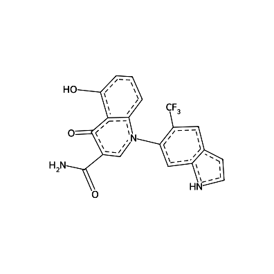 NC(=O)c1cn(-c2cc3[nH]ccc3cc2C(F)(F)F)c2cccc(O)c2c1=O